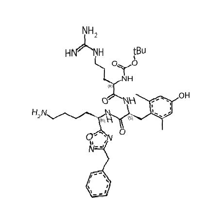 Cc1cc(O)cc(C)c1C[C@H](NC(=O)[C@@H](CCCNC(=N)N)NC(=O)OC(C)(C)C)C(=O)N[C@H](CCCCN)c1nc(Cc2ccccc2)no1